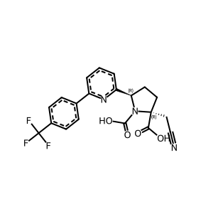 N#CC[C@@]1(C(=O)O)CC[C@H](c2cccc(-c3ccc(C(F)(F)F)cc3)n2)N1C(=O)O